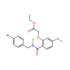 CCOC(=O)COc1cc(SC)ccc1C(=O)N(F)Cc1ccc(Br)cc1